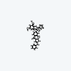 COc1ccc(CN(c2ncns2)S(=O)(=O)c2ccc(N(C)[C@@H]3CCN(Cc4ccccc4)C3)c(Cl)c2)c(OC)c1